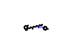 C=C(/C=C(C)/C=C/C=C(C)/C=C/C1=C(C)CCCC1(C)C)Nc1ccc(C)cc1